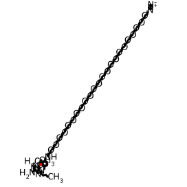 CCCCc1nc2c(N)nnc(OC(C)C)c2n1Cc1ccc(CNCCOCCOCCOCCOCCOCCOCCOCCOCCOCCOCCOCCOCCOCCOCCOCCOCCOCCOCCOCCOCCOCCOCCOCCN=[N+]=[N-])cc1